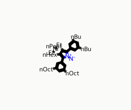 CCCCCCCCc1cc(CCCCCCCC)cc(C2=C(CCCCCC)C(CCCCC)=C(c3cc(CCCC)cc(CCCC)c3)[N+]2=[N-])c1.C[CH2][Ni][CH2]C